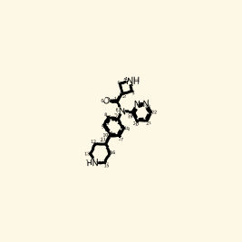 O=C(C1CNC1)N(c1ccc(C2CCNCC2)cc1)c1cccnn1